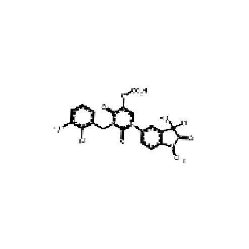 CN1C(=O)C(C)(Cl)c2cc(-n3cc(OC(=O)O)c(=O)n(Cc4cccc(C(F)(F)F)c4Cl)c3=O)ccc21